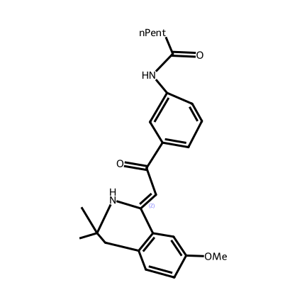 CCCCCC(=O)Nc1cccc(C(=O)/C=C2\NC(C)(C)Cc3ccc(OC)cc32)c1